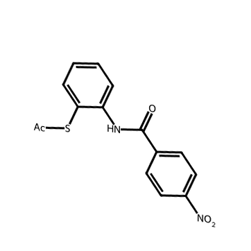 CC(=O)Sc1ccccc1NC(=O)c1ccc([N+](=O)[O-])cc1